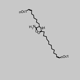 CCCCCCCC/C=C\CCCCCCCCCCCC(=O)NC(CCCCCC/C=C\CCCCCCCC)C(N)=O